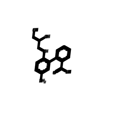 Nc1ccc(NCC(O)CO)c(-c2ccccc2C(=O)O)c1